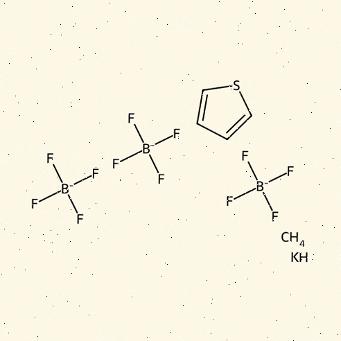 C.F[B-](F)(F)F.F[B-](F)(F)F.F[B-](F)(F)F.[KH].c1ccsc1